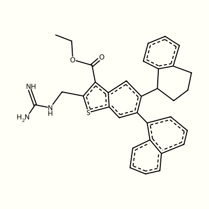 CCOC(=O)c1c(CNC(=N)N)sc2cc(-c3cccc4ccccc34)c(C3CCCc4ccccc43)cc12